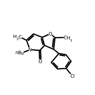 CCCCn1c(C)cc2oc(C)c(-c3ccc(Cl)cc3)c2c1=O